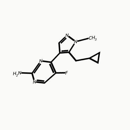 Cn1ncc(-c2nc(N)ncc2F)c1CC1CC1